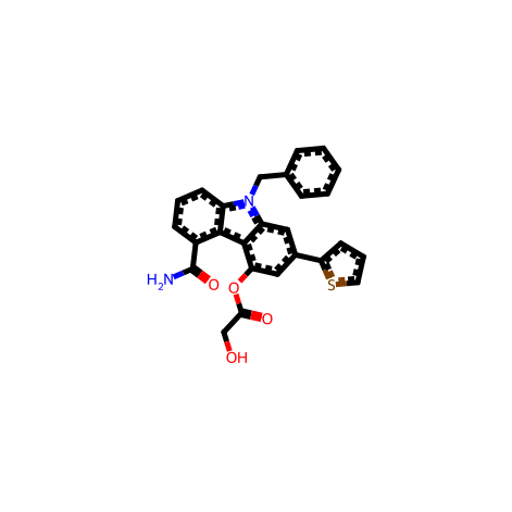 NC(=O)c1cccc2c1c1c(OC(=O)CO)cc(-c3cccs3)cc1n2Cc1ccccc1